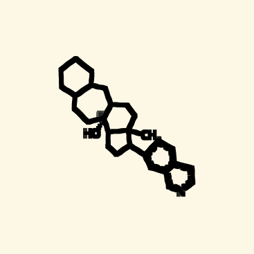 CC12CCC3CC4CCCCC4CC[C@]3(O)C1CCC2c1ccc2ccncc2c1